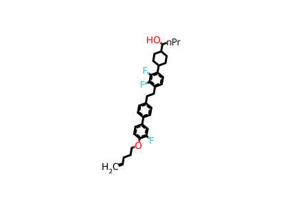 C=CCCCOc1ccc(-c2ccc(CCc3ccc(C4CCC(C(O)CCC)CC4)c(F)c3F)cc2)cc1F